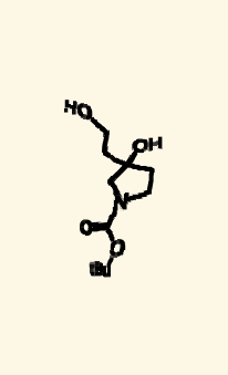 CC(C)(C)OC(=O)N1CCC(O)(CCO)C1